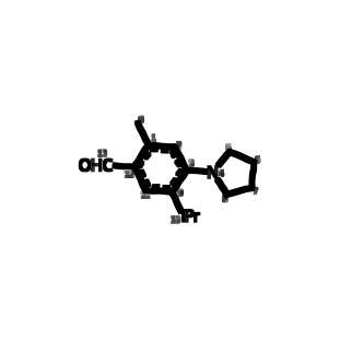 Cc1cc(N2CCCC2)c(C(C)C)cc1C=O